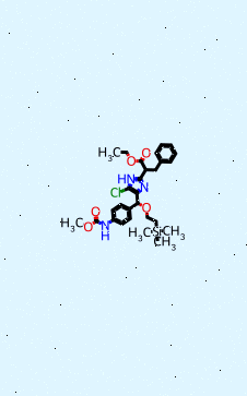 CCOC(=O)C(Cc1ccccc1)c1nc(C(OCC[Si](C)(C)C)c2ccc(NC(=O)OC)cc2)c(Cl)[nH]1